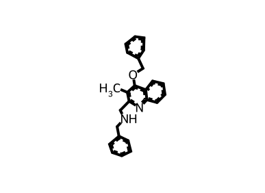 Cc1c(CNCc2ccccc2)nc2ccccc2c1OCc1ccccc1